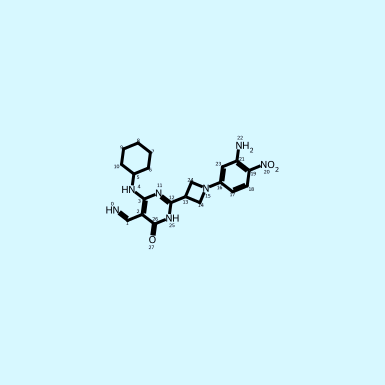 N=Cc1c(NC2CCCCC2)nc(C2CN(c3ccc([N+](=O)[O-])c(N)c3)C2)[nH]c1=O